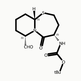 CC(C)(C)OC(=O)N[C@H]1CCS[C@H]2CCC[C@@H](C=O)N2C1=O